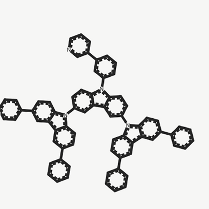 c1ccc(-c2ccc3c(c2)c2cc(-c4ccccc4)ccc2n3-c2ccc3c(c2)c2cc(-n4c5ccc(-c6ccccc6)cc5c5cc(-c6ccccc6)ccc54)ccc2n3-c2cccc(-c3cccnc3)c2)cc1